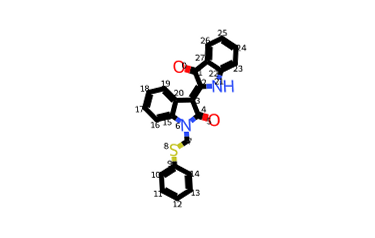 O=C1/C(=C2/C(=O)N(CSc3ccccc3)c3ccccc32)Nc2ccccc21